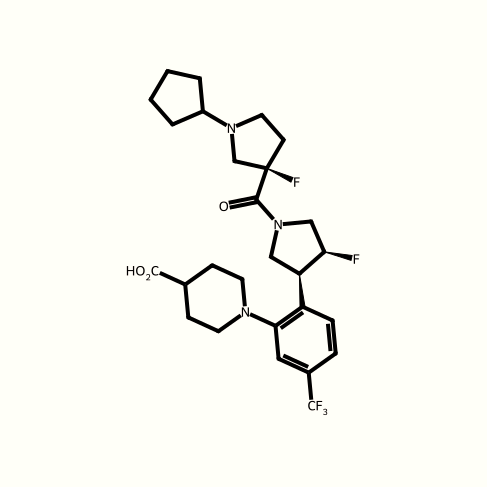 O=C(O)C1CCN(c2cc(C(F)(F)F)ccc2[C@H]2CN(C(=O)[C@@]3(F)CCN(C4CCCC4)C3)C[C@H]2F)CC1